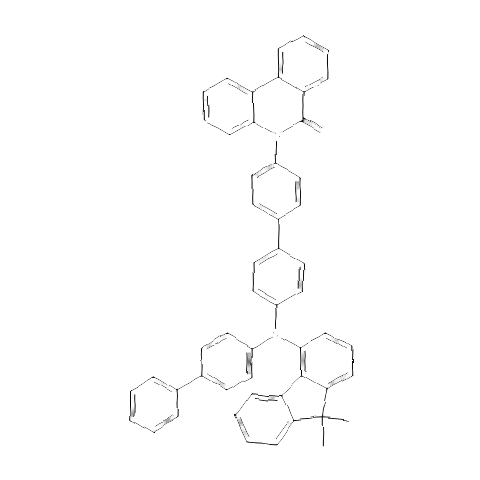 CC1(C)c2ccccc2-c2c(N(c3ccc(-c4ccccc4)cc3)c3ccc(-c4ccc(-n5c(=O)c6ccccc6c6ccccc65)cc4)cc3)cccc21